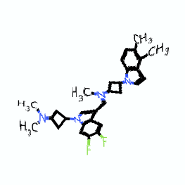 Cc1ccc2c(ccn2C2CC(N(C)Cc3cn(C4CC(N(C)C)C4)c4cc(F)c(F)cc34)C2)c1C